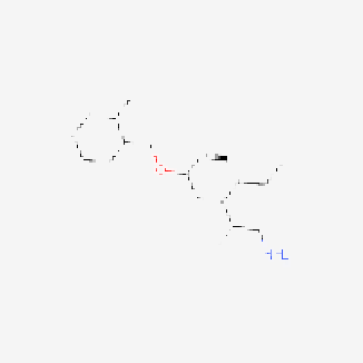 C=CC(CC(CCC)[C@@H](C)CN)OCC1CCCCC1C